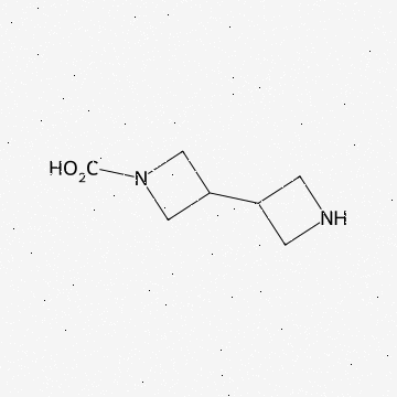 O=C(O)N1CC(C2CNC2)C1